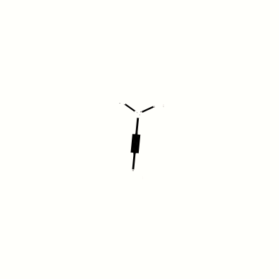 CC#CN(CCCC)CCCC